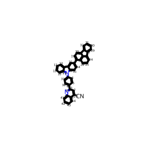 N#Cc1cc(-c2ccc(-n3c4ccccc4c4cc(-c5ccc6c7c(cccc57)-c5ccccc5-6)ccc43)cc2)nc2ccccc12